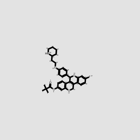 CC(C)(C)C(=O)Oc1ccc2c(c1)OCC1=C2C(c2ccc(OCCC3CCCCN3)cc2)Oc2cc(F)ccc21